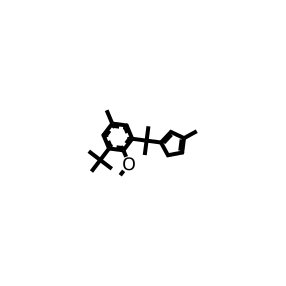 COc1c(C(C)(C)C)cc(C)cc1C(C)(C)C1=CC(C)=CC1